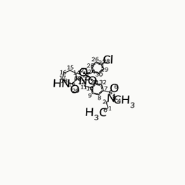 CCCN(C)C(=O)c1ccc(CN([C@@H]2CCCCNC2=O)S(=O)(=O)c2ccc(Cl)cc2)cc1